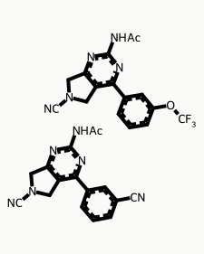 CC(=O)Nc1nc2c(c(-c3cccc(C#N)c3)n1)CN(C#N)C2.CC(=O)Nc1nc2c(c(-c3cccc(OC(F)(F)F)c3)n1)CN(C#N)C2